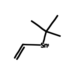 C=[CH][Sn][C](C)(C)C